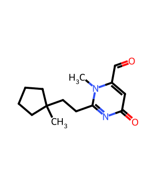 Cn1c(C=O)cc(=O)nc1CCC1(C)CCCC1